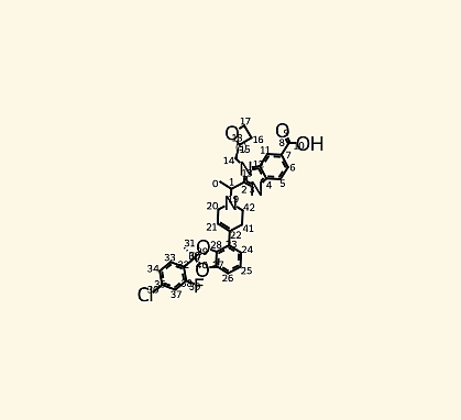 CC(c1nc2ccc(C(=O)O)cc2n1C[C@@H]1CCO1)N1CC=C(c2cccc3c2O[C@](C)(c2ccc(Cl)cc2F)O3)CC1